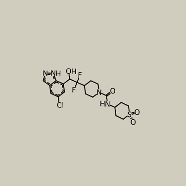 O=C(NC1CCS(=O)(=O)CC1)N1CCC(C(F)(F)C(O)c2cc(Cl)cc3cn[nH]c23)CC1